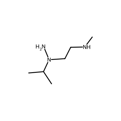 CNCCN(N)C(C)C